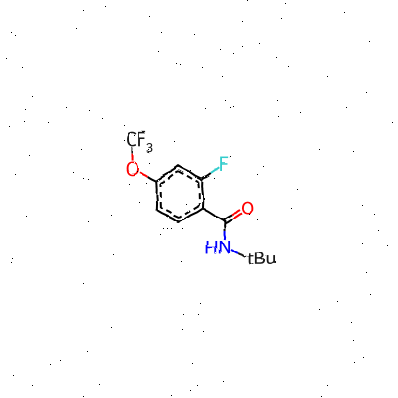 CC(C)(C)NC(=O)c1ccc(OC(F)(F)F)cc1F